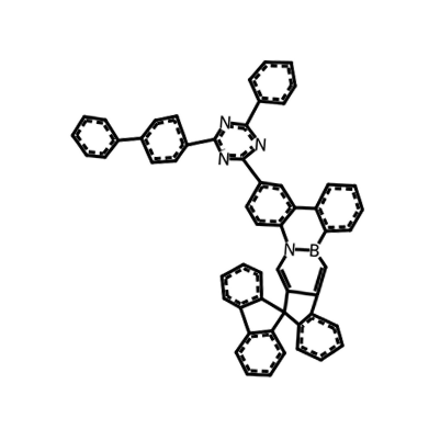 C1=C2C(=CN3B1c1ccccc1-c1cc(-c4nc(-c5ccccc5)nc(-c5ccc(-c6ccccc6)cc5)n4)ccc13)C1(c3ccccc32)c2ccccc2-c2ccccc21